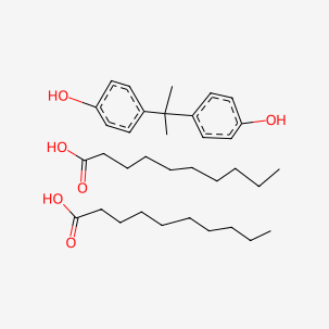 CC(C)(c1ccc(O)cc1)c1ccc(O)cc1.CCCCCCCCCC(=O)O.CCCCCCCCCC(=O)O